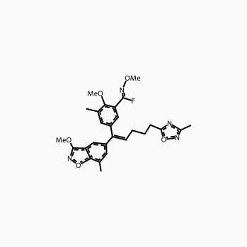 CO/N=C(\F)c1cc(/C(=C\CCCc2nc(C)no2)c2cc(C)c3onc(OC)c3c2)cc(C)c1OC